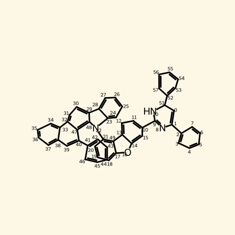 C1=C(c2ccccc2)N=C(c2ccc3c(c2)oc2cccc(-n4c5ccccc5c5ccc6c7ccccc7cc(-c7ccccc7)c6c54)c23)NC1c1ccccc1